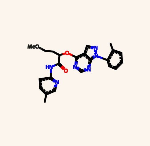 COCCC(Oc1ncnc2c1cnn2-c1ccccc1C)C(=O)Nc1ccc(C)cn1